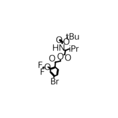 CC(C)C(NC(=O)OC(C)(C)C)C(=O)OCC(=O)c1ccc(Br)cc1OC(F)F